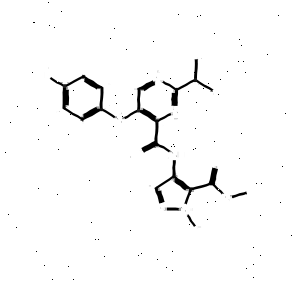 CNC(=O)c1c(NC(=O)c2nc(C(C)C)ncc2Nc2ccc(F)cc2)cnn1C